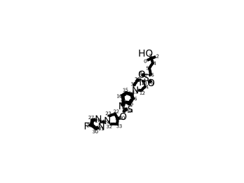 CC(C)(O)CCCS(=O)(=O)N1CCN(c2ccc3nc(OC4CCN(c5ncc(F)cn5)CC4)sc3c2)CC1